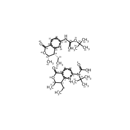 CCC1c2nc(N(C(=O)O)C(C)(C)C)ccc2C(=O)OC1C.CC[C@H]1c2nc(NC(=O)OC(C)(C)C)ccc2C(=O)O[C@H]1C